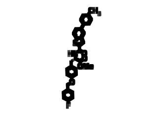 COC(=O)[C@H](Cc1ccc(OCc2ccc(F)cc2)cc1)NC(=O)c1cc2cc(-c3ccc(C)cc3)ccc2s1